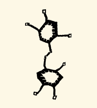 Clc1cc(Cl)c(SSc2cc(Cl)c(Cl)cc2Cl)cc1Cl